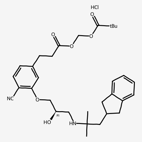 CC(C)(CC1Cc2ccccc2C1)NC[C@@H](O)COc1cc(CCC(=O)OCOC(=O)C(C)(C)C)ccc1C#N.Cl